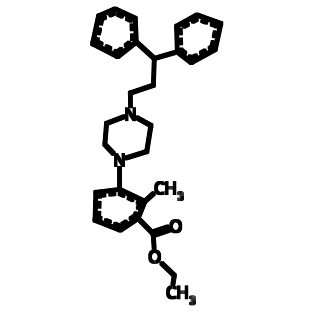 CCOC(=O)c1cccc(N2CCN(CCC(c3ccccc3)c3ccccc3)CC2)c1C